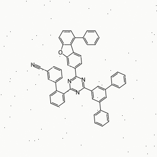 N#Cc1cccc(-c2ccccc2-c2nc(-c3cc(-c4ccccc4)cc(-c4ccccc4)c3)nc(-c3ccc4c(c3)oc3cccc(-c5ccccc5)c34)n2)c1